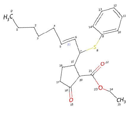 CCCCC/C=C/C(Sc1ccccc1)C1CCC(=O)C1C(=O)OCC